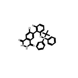 CC(C)(C)[Si](Oc1cccc(F)c1-c1cc2c(=O)[nH][nH]c(=O)c2cc1Cl)(c1ccccc1)c1ccccc1